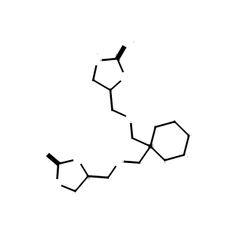 O=C1OCC(COCC2(COCC3COC(=O)O3)CCCCC2)O1